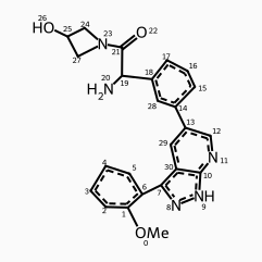 COc1ccccc1-c1n[nH]c2ncc(-c3cccc(C(N)C(=O)N4CC(O)C4)c3)cc12